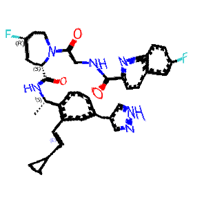 C[C@H](NC(=O)[C@@H]1C[C@@H](F)CN1C(=O)CNC(=O)c1ccc2cc(F)ccc2n1)c1ccc(-c2cn[nH]c2)cc1/C=C/C1CC1